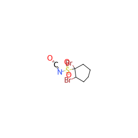 O=C=NS(=O)(=O)C1(Br)CCCCC1Br